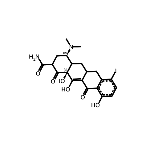 CN(C)[C@@H]1CC(C(N)=O)C(=O)[C@@]2(O)C(O)=C3C(=O)c4c(O)ccc(I)c4CC3CC12